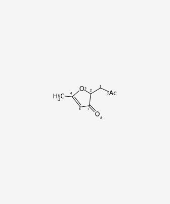 CC(=O)CC1OC(C)=CC1=O